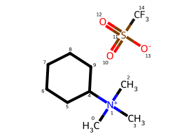 C[N+](C)(C)C1CCCCC1.O=S(=O)([O-])C(F)(F)F